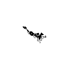 N#Cc1c(C(N)=O)c2n(c1C1CC1)CCN(C(=O)Nc1ccc(OCCN3CCOCC3)cc1)C2